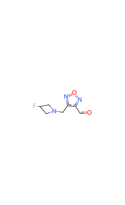 O=Cc1nonc1CN1CC(F)C1